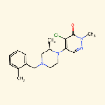 Cc1ccccc1CN1CCN(c2cnn(C)c(=O)c2Cl)[C@H](C)C1